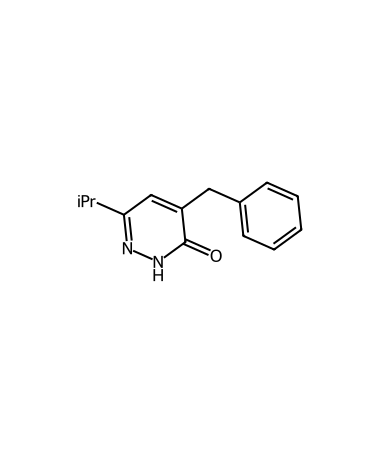 CC(C)c1cc(Cc2ccccc2)c(=O)[nH]n1